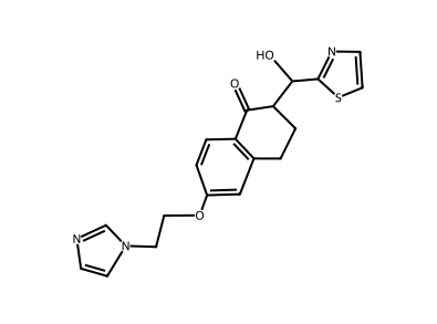 O=C1c2ccc(OCCn3ccnc3)cc2CCC1C(O)c1nccs1